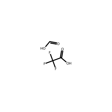 O=C(O)C(F)(F)F.O=CO